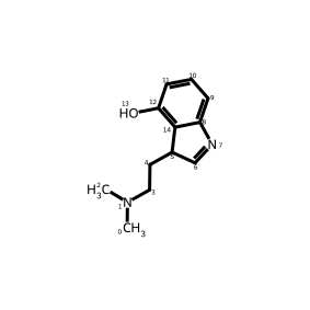 CN(C)CCC1C=Nc2cccc(O)c21